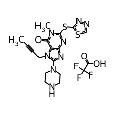 CC#CCn1c(N2CCNCC2)nc2nc(Sc3nncs3)n(C)c(=O)c21.O=C(O)C(F)(F)F